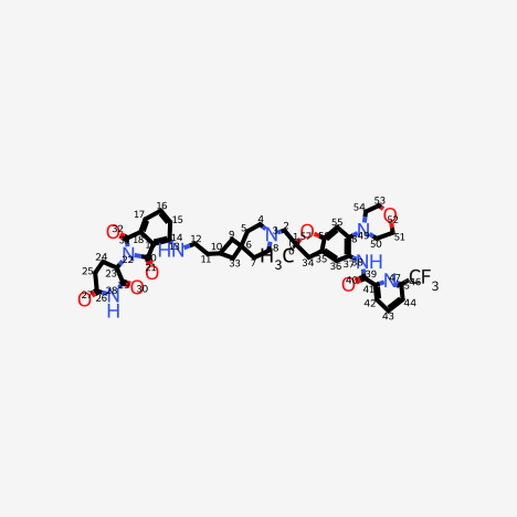 C[C@@]1(CN2CCC3(CC2)CC(CCNc2cccc4c2C(=O)N(C2CCC(=O)NC2=O)C4=O)C3)Cc2cc(NC(=O)c3cccc(C(F)(F)F)n3)c(N3CCOCC3)cc2O1